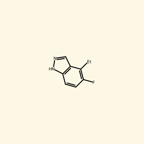 CCc1c(F)ccc2[nH]ncc12